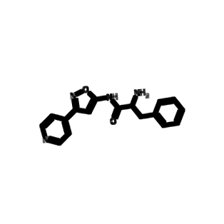 NC(Cc1ccccc1)C(=O)Nc1cc(-c2ccncc2)no1